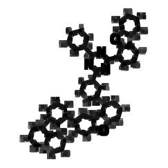 c1ccc(-c2nc(-c3cccc(-c4cccc5oc6ccc(-c7cccc8c7-c7cccc9cccc-8c79)cc6c45)c3)nc(-c3cccc4c3oc3ccccc34)n2)cc1